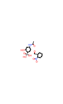 CC(=O)Nc1ccc([As](=O)(O)O)c(O)c1.O=Cc1ccccc1[N+](=O)[O-]